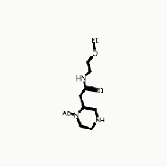 CCOCCNC(=O)CC1CNCCN1C(C)=O